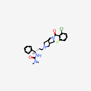 CN(C)C(=O)N[C@@H](CCN1CC2=CN(C(=O)c3c(F)cccc3Cl)CC2C1)c1ccccc1